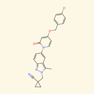 Cc1c2cc(-n3ccc(OCc4ccc(Cl)cc4)cc3=O)ccc2nn1CC1(C#N)CC1